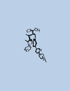 Cc1c(C(=O)O)cc2cc(-c3ccc(N4CCN(C)CC4)nc3)cn2c1C(C)N1CCOCC1